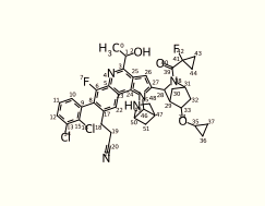 CC(O)c1nc2c(F)c(-c3cccc(Cl)c3Cl)c(CCC#N)cc2c2c1cc(C1C3CC(CC3OC3CC3)N1C(=O)C1(F)CC1)n2C1C2CNC1C2